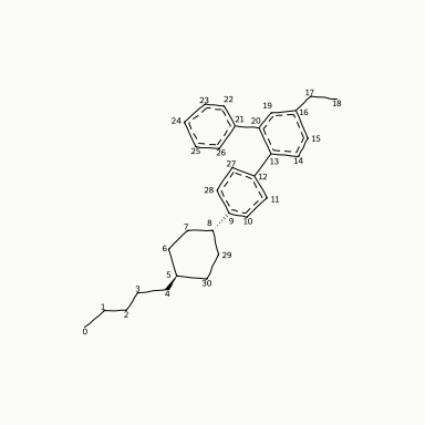 CCCCC[C@H]1CC[C@H](c2ccc(-c3ccc(CC)cc3-c3ccccc3)cc2)CC1